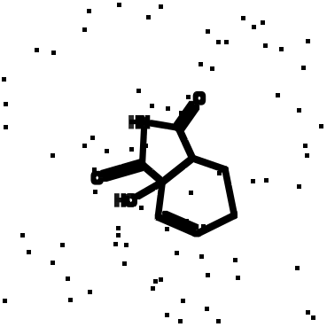 O=C1NC(=O)C2(O)C=CCCC12